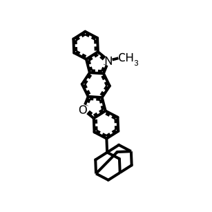 Cn1c2ccccc2c2cc3oc4cc(C56CC7CC(CC(C7)C5)C6)ccc4c3cc21